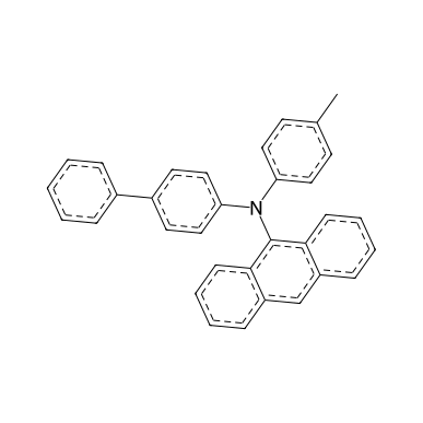 Cc1ccc(N(c2ccc(-c3ccccc3)cc2)c2c3ccccc3cc3ccccc23)cc1